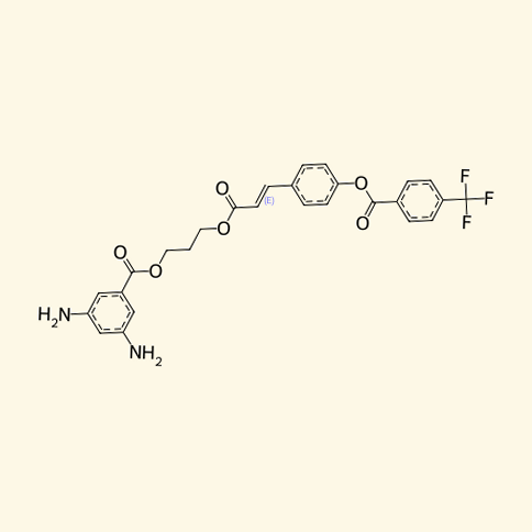 Nc1cc(N)cc(C(=O)OCCCOC(=O)/C=C/c2ccc(OC(=O)c3ccc(C(F)(F)F)cc3)cc2)c1